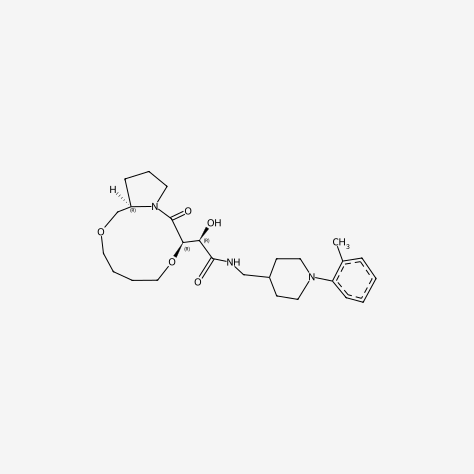 Cc1ccccc1N1CCC(CNC(=O)[C@H](O)[C@H]2OCCCCOC[C@H]3CCCN3C2=O)CC1